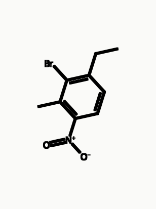 CCc1ccc([N+](=O)[O-])c(C)c1Br